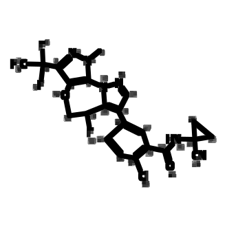 Cn1nc(C(F)(F)C(F)(F)F)c2c1-n1ncc(-c3ccc(Cl)c(C(=O)NC4(C#N)CC4)c3)c1C(F)CO2